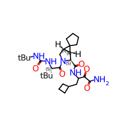 CC(C)(C)NC(=O)N[C@H](C(=O)N1C[C@H]2[C@@H]([C@H]1C(=O)NC(CC1CCC1)C(=O)C(N)=O)C21CCCC1)C(C)(C)C